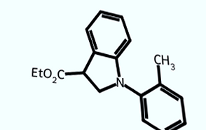 CCOC(=O)C1CN(c2ccccc2C)c2ccccc21